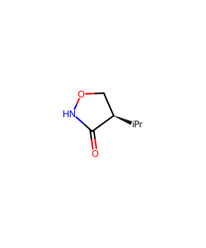 CC(C)[C@@H]1CONC1=O